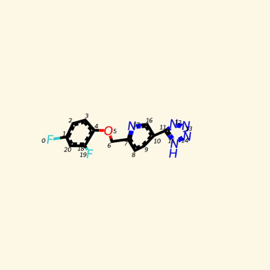 Fc1ccc(OCc2ccc(-c3nnn[nH]3)cn2)c(F)c1